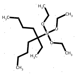 CCCCC(CC)(CCCC)[Si](OCC)(OCC)OCC